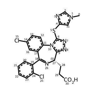 Cn1cnc(Sc2nnc3n2-c2ccc(Cl)cc2C(c2ccccc2Cl)=N[C@H]3CCC(=O)O)c1